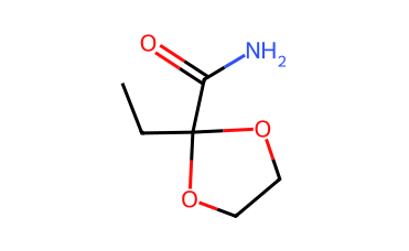 CCC1(C(N)=O)OCCO1